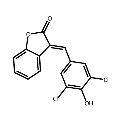 O=C1Oc2ccccc2/C1=C\c1cc(Cl)c(O)c(Cl)c1